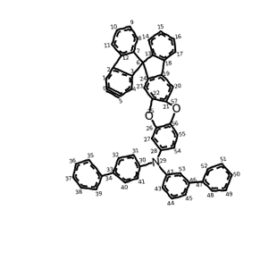 c1cc2c(cc#1)C1(c3ccccc3-2)c2ccccc2-c2cc3c(cc21)Oc1cc(N(c2ccc(-c4ccccc4)cc2)c2cccc(-c4ccccc4)c2)ccc1O3